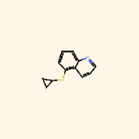 c1cc(SC2CC2)c2cccnc2c1